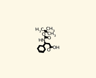 CC(C)(C)OC(=O)NC(CC(=O)O)C1CC=CCC1